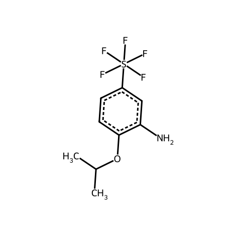 CC(C)Oc1ccc(S(F)(F)(F)(F)F)cc1N